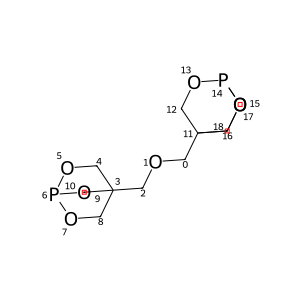 C(OCC12COP(OC1)OC2)C12COP(OC1)OC2